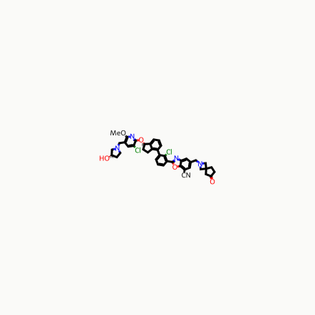 COc1nc(O[C@@H]2CCc3c(-c4cccc(-c5nc6cc(CN7CC8(CCC(=O)C8)C7)cc(C#N)c6o5)c4Cl)cccc32)c(Cl)cc1CN1CC[C@H](O)C1